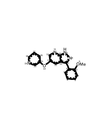 COc1ccccc1-c1n[nH]c2ncc(Oc3cccnc3)cc12